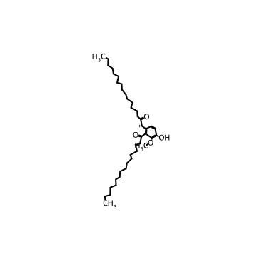 CCCCCCCCCCCCCCCC(=O)[C]c1ccc(O)c(OC)c1C(=O)CCCCCCCCCCCCCCC